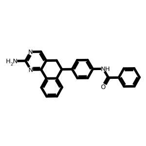 Nc1ncc2c(n1)-c1ccccc1C(c1ccc(NC(=O)c3ccccc3)cc1)C2